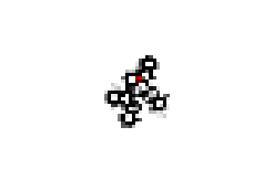 c1ccc2cc(-c3nc4ccccc4nc3-n3c4ccccc4c4c5ccccc5c5c6ccccc6oc5c43)ccc2c1